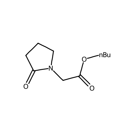 CCCCOC(=O)CN1CCCC1=O